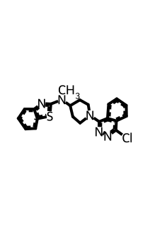 CN(c1nc2ccccc2s1)C1CCN(c2nnc(Cl)c3ccccc23)CC1